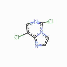 Clc1cnc(Cl)n2ccnc12